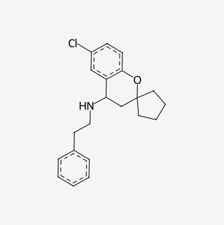 Clc1ccc2c(c1)C(NCCc1ccccc1)CC1(CCCC1)O2